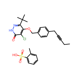 CCC#CCc1ccc(COc2c(C(C)(C)C)n[nH]c(=O)c2Cl)cc1.Cc1ccccc1S(=O)(=O)O